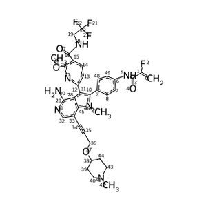 C=C(F)C(=O)Nc1ccc(-c2c(-c3ccc(C(=O)NCC(F)(F)F)c(OC)n3)c3c(N)ncc(C#CCOC4CCN(C)CC4)c3n2C)cc1